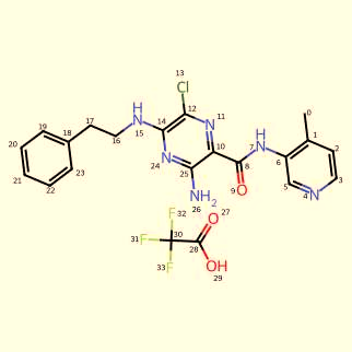 Cc1ccncc1NC(=O)c1nc(Cl)c(NCCc2ccccc2)nc1N.O=C(O)C(F)(F)F